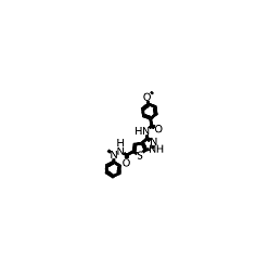 COc1ccc(C(=O)Nc2n[nH]c3sc(C(=O)NN(C)c4ccccc4)cc23)cc1